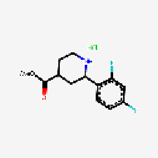 COC(=O)C1CCNC(c2ccc(F)cc2F)C1.Cl